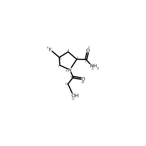 NC(=O)C1CC(F)CN1C(=O)CO